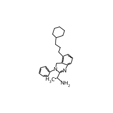 C[C@H](N)C1=Nc2cccc(CCCC3CCCCC3)c2CN1c1ccccc1